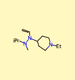 C=CN(C1CCN(CC)CC1)N(C)C(C)C